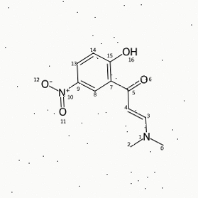 CN(C)/C=C/C(=O)c1cc([N+](=O)[O-])ccc1O